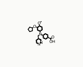 COc1ccc(N(Cc2ccnnc2)c2ccc(C(=O)O)cc2)cc1OC1CCCC1